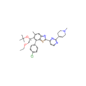 CCOC[C@@H](OC(C)(C)C)c1c(C)cc2nc(-c3ccnc(C4=CCN(C)CC4)n3)sc2c1-c1ccc(Cl)cc1